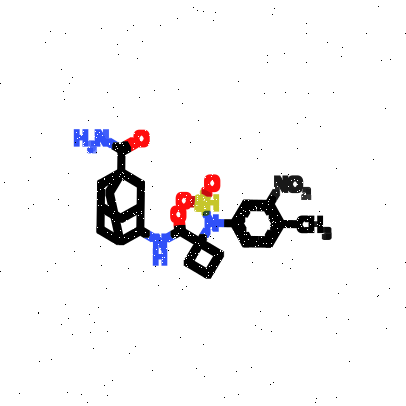 Cc1ccc(N([SH](=O)=O)C2(C(=O)NC3C4CC5CC3CC(C(N)=O)(C5)C4)CCC2)cc1[N+](=O)[O-]